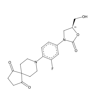 O=C1O[C@H](CO)CN1c1ccc(N2CCC3(CC2)C(=O)CCC3=O)c(F)c1